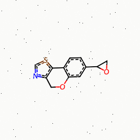 c1nc2c(s1)-c1ccc(C3CO3)cc1OC2